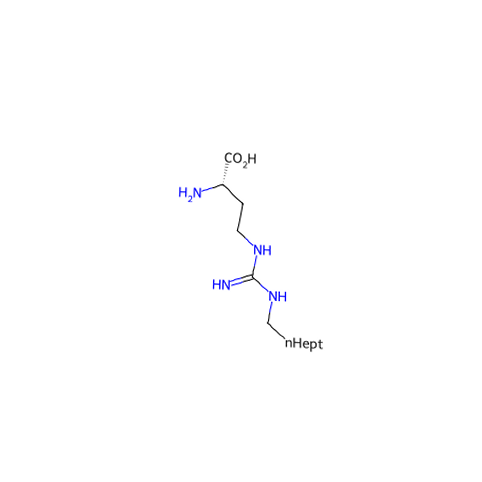 CCCCCCCCNC(=N)NCC[C@H](N)C(=O)O